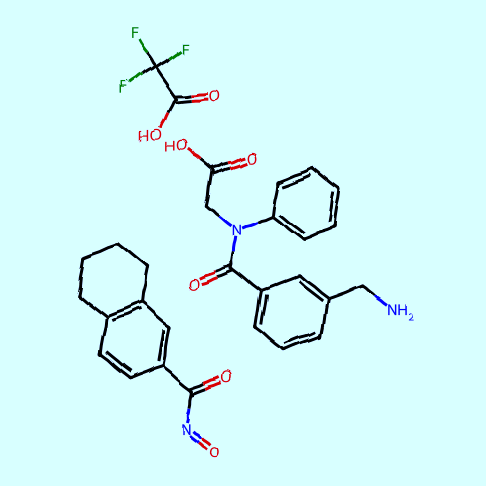 NCc1cccc(C(=O)N(CC(=O)O)c2ccccc2)c1.O=C(O)C(F)(F)F.O=NC(=O)c1ccc2c(c1)CCCC2